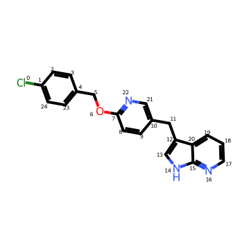 Clc1ccc(COc2ccc(Cc3c[nH]c4ncccc34)cn2)cc1